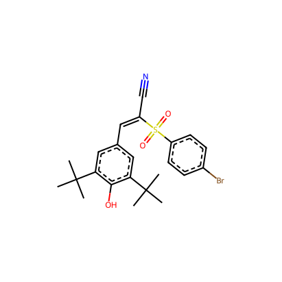 CC(C)(C)c1cc(C=C(C#N)S(=O)(=O)c2ccc(Br)cc2)cc(C(C)(C)C)c1O